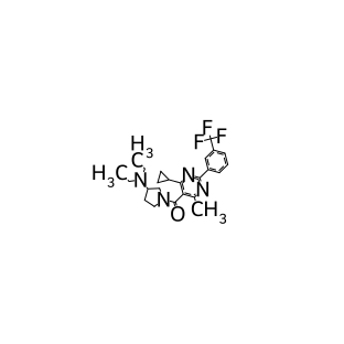 CCN(CC)C1CCN(C(=O)c2c(C)nc(-c3cccc(C(F)(F)F)c3)nc2C2CC2)C1